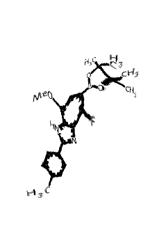 COc1cc(B2OC(C)(C)C(C)(C)O2)c(F)c2nc(-c3ccc(C)cc3)[nH]c12